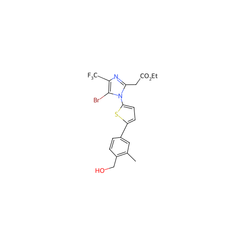 CCOC(=O)Cc1nc(C(F)(F)F)c(Br)n1-c1ccc(-c2ccc(CO)c(C)c2)s1